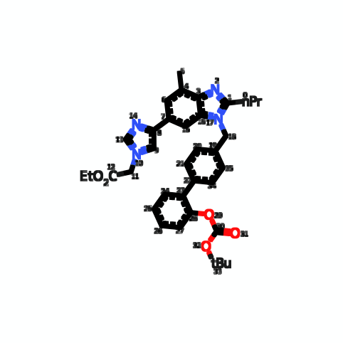 CCCc1nc2c(C)cc(-c3cn(CC(=O)OCC)cn3)cc2n1Cc1ccc(-c2ccccc2OC(=O)OC(C)(C)C)cc1